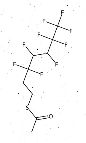 CC(=O)SCCC(F)(F)C(F)C(F)C(F)(F)C(F)(F)F